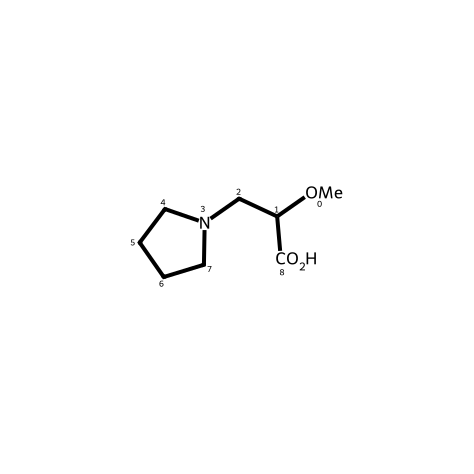 COC(CN1CCCC1)C(=O)O